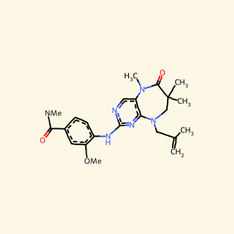 C=C(C)CN1CC(C)(C)C(=O)N(C)c2cnc(Nc3ccc(C(=O)NC)cc3OC)nc21